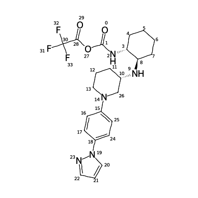 O=C(N[C@@H]1CCCC[C@H]1N[C@H]1CCCN(c2ccc(-n3cccn3)cc2)C1)OC(=O)C(F)(F)F